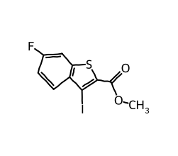 COC(=O)c1sc2cc(F)ccc2c1I